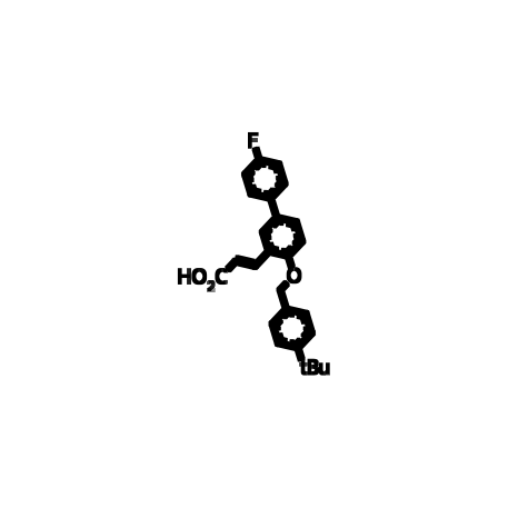 CC(C)(C)c1ccc(COc2ccc(-c3ccc(F)cc3)cc2/C=C/C(=O)O)cc1